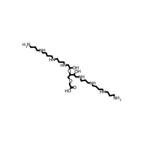 NCCCNCCCCNCCCNCC(O)OC(COCC(=O)O)C(O)CNCCCNCCCCNCCCN